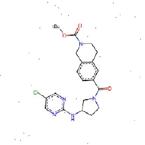 CC(C)(C)OC(=O)N1CCc2cc(C(=O)N3CCC(Nc4ncc(Cl)cn4)C3)ccc2C1